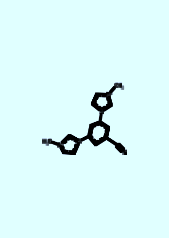 C[n+]1ccn(-c2cc(C#N)cc(-n3cc[n+](C)c3)c2)c1